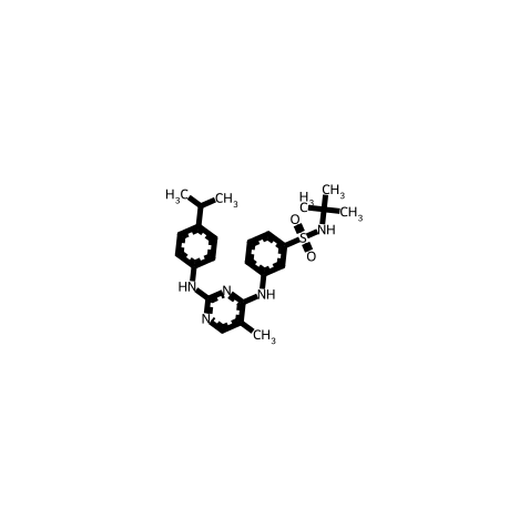 Cc1cnc(Nc2ccc(C(C)C)cc2)nc1Nc1cccc(S(=O)(=O)NC(C)(C)C)c1